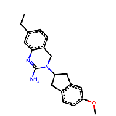 CCc1ccc2c(c1)N=C(N)N(C1Cc3ccc(OC)cc3C1)C2